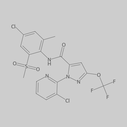 Cc1cc(Cl)cc(S(C)(=O)=O)c1NC(=O)c1cc(OC(F)(F)F)nn1-c1ncccc1Cl